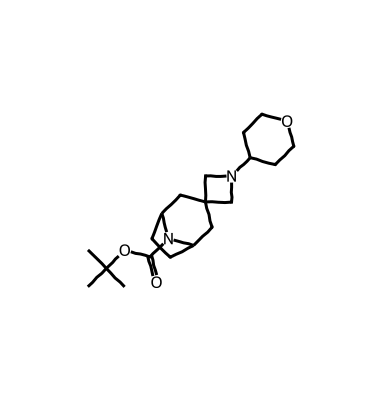 CC(C)(C)OC(=O)N1C2CCC1CC1(C2)CN(C2CCOCC2)C1